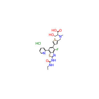 CCNC(=O)Nc1nc2c(F)c(-c3csc(CN(C)C(CO)C(=O)O)c3)cc(-c3ccccn3)c2s1.Cl